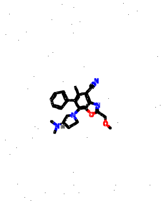 COCc1nc2c(C#N)c(C)c(-c3ccccc3)c(N3CC[C@H](N(C)C)C3)c2o1